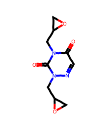 O=c1cnn(CC2CO2)c(=O)n1CC1CO1